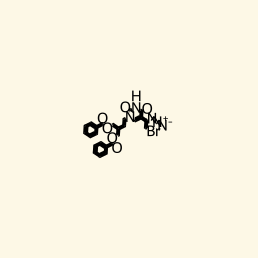 [N-]=[N+]=NC(CBr)c1cn(CCC(COC(=O)c2ccccc2)COC(=O)c2ccccc2)c(=O)[nH]c1=O